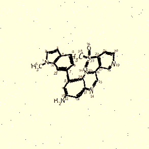 Cn1ccc2ccc(-c3cc(N)cc4ncc(-c5cnccc5S(C)(=O)=O)nc34)cc21